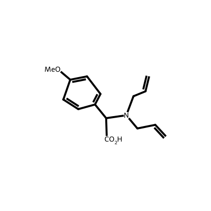 C=CCN(CC=C)C(C(=O)O)c1ccc(OC)cc1